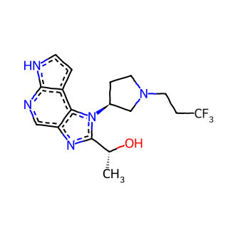 C[C@@H](O)c1nc2cnc3[nH]ccc3c2n1[C@H]1CCN(CCC(F)(F)F)C1